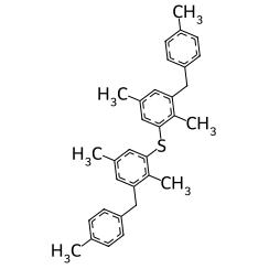 Cc1ccc(Cc2cc(C)cc(Sc3cc(C)cc(Cc4ccc(C)cc4)c3C)c2C)cc1